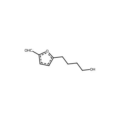 O=Cc1ccc(CCCCO)o1